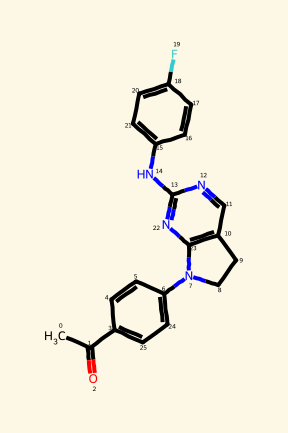 CC(=O)c1ccc(N2CCc3cnc(Nc4ccc(F)cc4)nc32)cc1